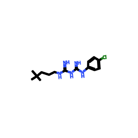 CC(C)(C)CCCNC(=N)NC(=N)Nc1ccc(Cl)cc1